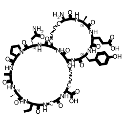 CCC1NC(=O)[C@H](C)NC(=O)C(C)NC(=O)C2CCCN2C(=O)[C@H](CC(N)=O)NC(=O)C2CSSCC(N)C(=O)N[C@@H](C)C(=O)NC(CCC(=O)O)C(=O)N[C@@H](Cc3ccc(O)cc3)C(=O)NC(CSSCC(C(=O)O)NC(=O)CNC1=O)C(=O)N2